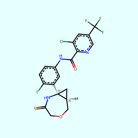 O=C(Nc1ccc(F)c([C@]23C[C@H]2COCC(=S)N3)c1)c1ncc(C(F)(F)F)cc1Cl